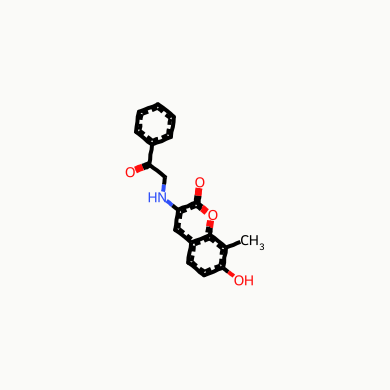 Cc1c(O)ccc2cc(NCC(=O)c3ccccc3)c(=O)oc12